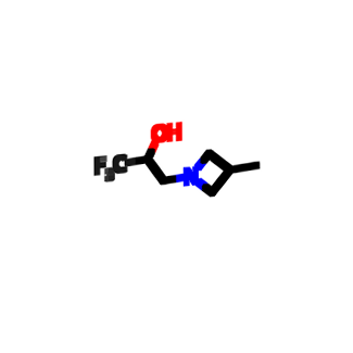 CC1CN(CC(O)C(F)(F)F)C1